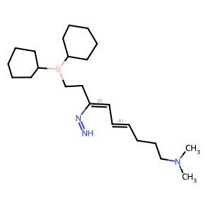 CN(C)CCC/C=C/C=C(/CCB(C1CCCCC1)C1CCCCC1)N=N